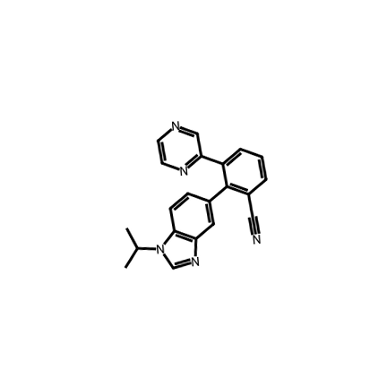 CC(C)n1cnc2cc(-c3c(C#N)cccc3-c3cnccn3)ccc21